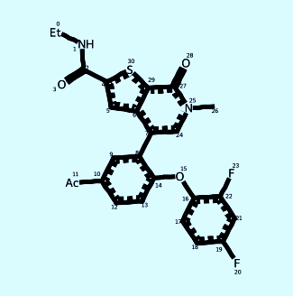 CCNC(=O)c1cc2c(-c3cc(C(C)=O)ccc3Oc3ccc(F)cc3F)cn(C)c(=O)c2s1